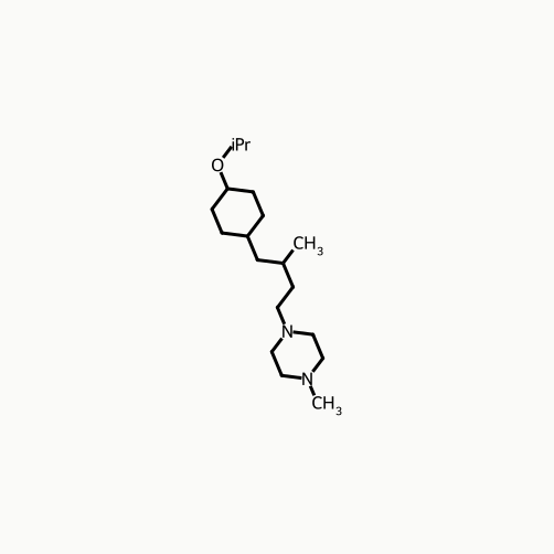 CC(CCN1CCN(C)CC1)CC1CCC(OC(C)C)CC1